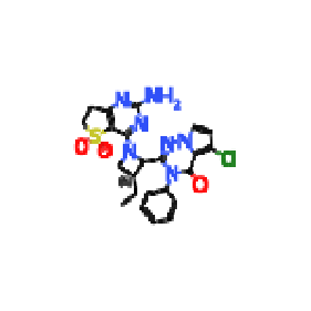 CC[C@H]1CN(c2nc(N)nc3c2S(=O)(=O)CC3)C1c1nn2ccc(Cl)c2c(=O)n1-c1ccccc1